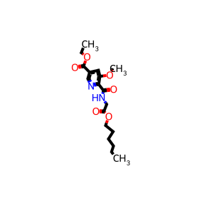 CCCCCCOC(=O)CNC(=O)c1ncc(C(=O)OCC)cc1OC